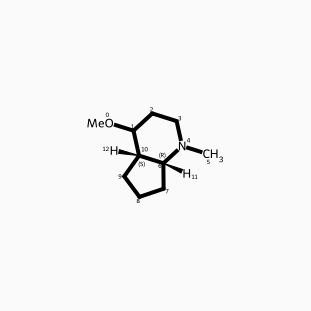 COC1CCN(C)[C@@H]2CCC[C@H]12